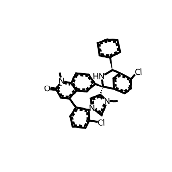 Cn1cncc1[C@]1(c2ccc3c(c2)c(-c2cccc(Cl)c2)cc(=O)n3C)N[C@@H](c2ccccc2)c2cc1ccc2Cl